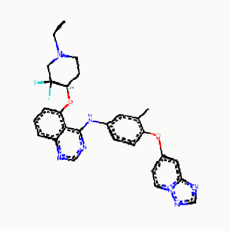 CCN1CC[C@@H](Oc2cccc3ncnc(Nc4ccc(Oc5ccn6ncnc6c5)c(C)c4)c23)C(F)(F)C1